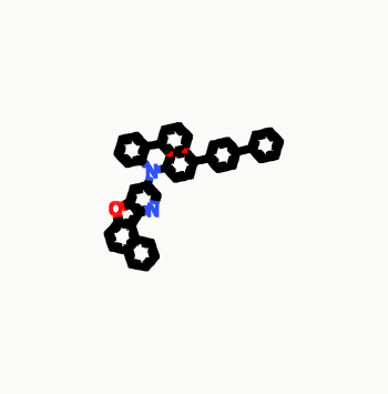 c1ccc(-c2ccc(-c3ccc(N(c4cnc5c(c4)oc4ccc6ccccc6c45)c4ccccc4-c4ccccc4)cc3)cc2)cc1